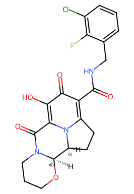 O=C(NCc1cccc(Cl)c1F)c1c2n3c(c(O)c1=O)C(=O)N1CCCO[C@@H]1[C@@H]3CC2